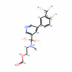 BC(B)(c1cncc(-c2ccc(F)c(C(F)F)c2)c1)N(C)CCOC=O